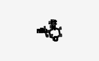 CCCCC.CCN1CCOCC1